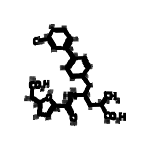 C[C@H](CC(Cc1ccc(-c2cccc(Cl)c2)cc1)NC(=O)c1ccc(CC(=O)O)o1)C(=O)O